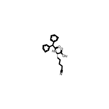 N#CCCCC[C@H](NC(=O)C(c1ccccc1)c1ccccc1)C(=O)O